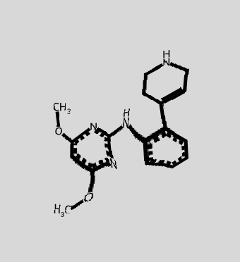 COc1cc(OC)nc(Nc2ccccc2C2=CCNCC2)n1